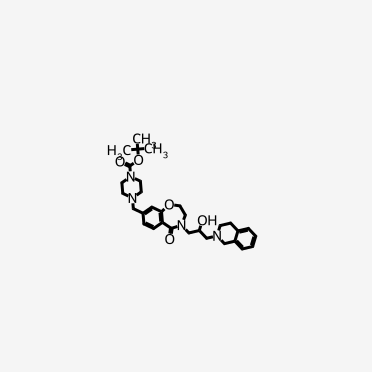 CC(C)(C)OC(=O)N1CCN(Cc2ccc3c(c2)OCCN(CC(O)CN2CCc4ccccc4C2)C3=O)CC1